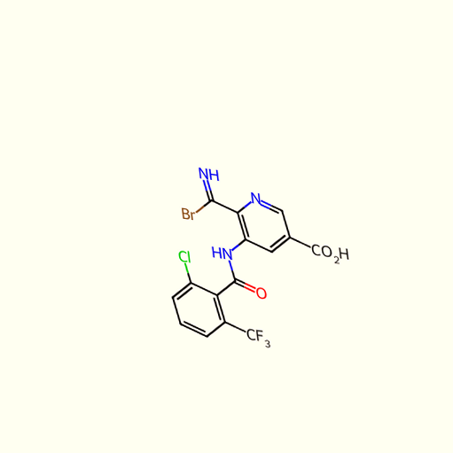 N=C(Br)c1ncc(C(=O)O)cc1NC(=O)c1c(Cl)cccc1C(F)(F)F